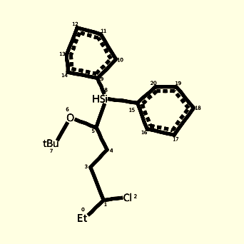 CCC(Cl)CCC(OC(C)(C)C)[SiH](c1ccccc1)c1ccccc1